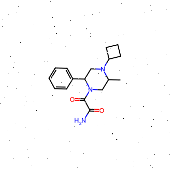 CC1CN(C(=O)C(N)=O)C(c2ccccc2)CN1C1CCC1